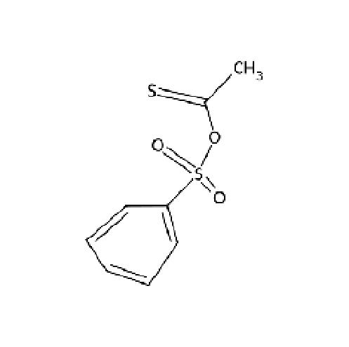 CC(=S)OS(=O)(=O)c1ccccc1